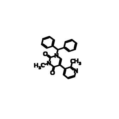 Cc1ncccc1-c1cn(C(c2ccccc2)c2ccccc2)c(=O)n(C)c1=O